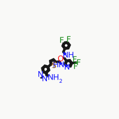 Nc1ncnc2ccc(-c3ccc(CNc4ncc(C(F)(F)F)cc4C(=O)NCc4ccc(F)c(F)c4)s3)cc12